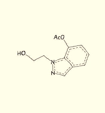 CC(=O)Oc1cccc2cnn(CCO)c12